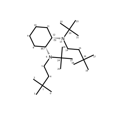 CC(C)(C)CCN([C@@H]1CCCC[C@@H]1N(CCC(C)(C)C)C(C)(C)C)C(C)(C)C